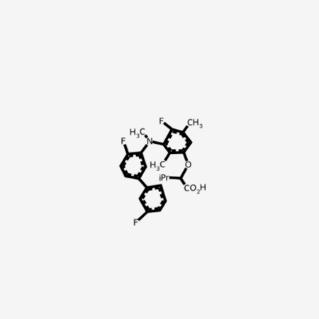 Cc1cc(OC(C(=O)O)C(C)C)c(C)c(N(C)c2cc(-c3cccc(F)c3)ccc2F)c1F